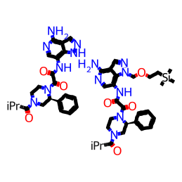 CC(C)C(=O)N1CCN(C(=O)C(=O)Nc2cnc(N)c3cn[nH]c23)[C@@H](c2ccccc2)C1.CC(C)C(=O)N1CCN(C(=O)C(=O)Nc2cnc(N)c3cnn(COCC[Si](C)(C)C)c23)[C@@H](c2ccccc2)C1